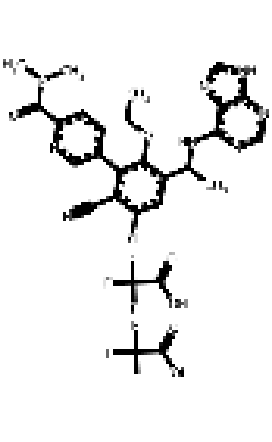 CCOc1c(C(C)Nc2ncnc3[nH]cnc23)cc(Cl)c(C#N)c1-c1ccc(C(=O)N(C)C)nc1.O=C(O)C(F)(F)F.O=C(O)C(F)(F)F